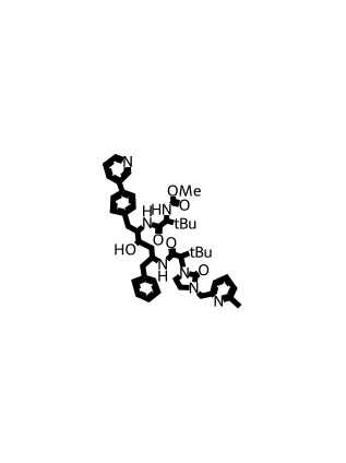 COC(=O)NC(C(=O)NC(Cc1ccc(-c2cccnc2)cc1)C(O)CC(Cc1ccccc1)NC(=O)C(N1CCN(Cc2cccc(C)n2)C1=O)C(C)(C)C)C(C)(C)C